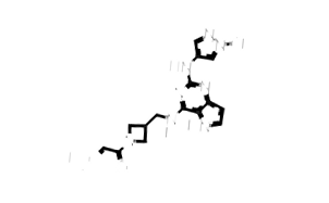 C=CC(=O)N1CC(CNc2nc(Nc3cnn(C)c3)nc3cc[nH]c23)C1